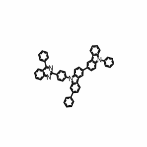 c1ccc(-c2ccc3c4cc(-c5ccc6c(c5)c5ccccc5n6-c5ccccc5)ccc4n(-c4ccc(-c5nc(-c6ccccc6)c6ccccc6n5)cc4)c3c2)cc1